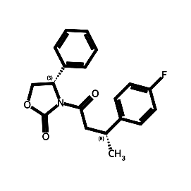 C[C@H](CC(=O)N1C(=O)OC[C@@H]1c1ccccc1)c1ccc(F)cc1